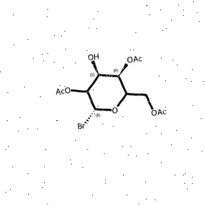 CC(=O)OCC1O[C@H](Br)C(OC(C)=O)[C@@H](O)[C@H]1OC(C)=O